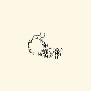 CC[C@@H]1C[C@]1(NC(=O)[C@@H]1C[C@@H]2C[C@H]1C(=O)N(C)CCCCCCCOc1ccc3c(c1)/C(=N\O2)c1ccccc1-3)C(=O)NS(=O)(=O)C1CC1